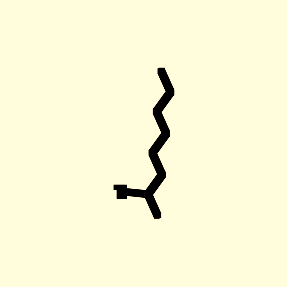 CCCCCC[CH](C)[Ti]